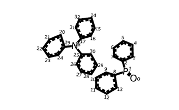 O=[P](c1ccccc1)c1ccccc1.c1ccc(N(c2ccccc2)c2ccccc2)cc1